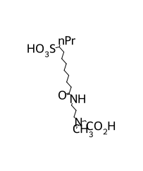 CCCC(CCCCCCCC(=O)NCCCN(C)CC(=O)O)S(=O)(=O)O